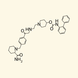 NC(=O)C1CCCCN1Cc1ccc(C(=O)CNCCN2CCC(OC(=O)Nc3ccccc3-c3ccccc3)CC2)cc1